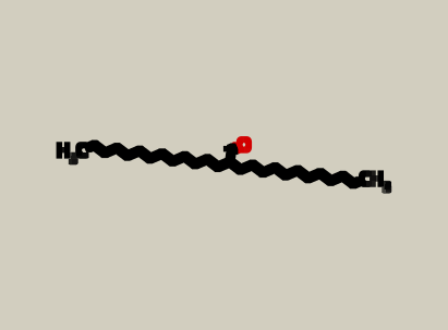 CCCCCCCCCCCCCC([C]=O)CCCCCCCCCCCC